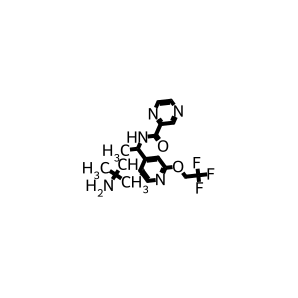 CC(C)(C)N.CC(NC(=O)c1cnccn1)c1ccnc(OCC(F)(F)F)c1